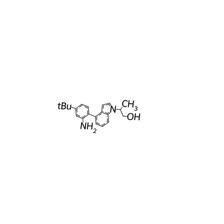 CC(CO)n1ccc2c(-c3ccc(C(C)(C)C)cc3N)cccc21